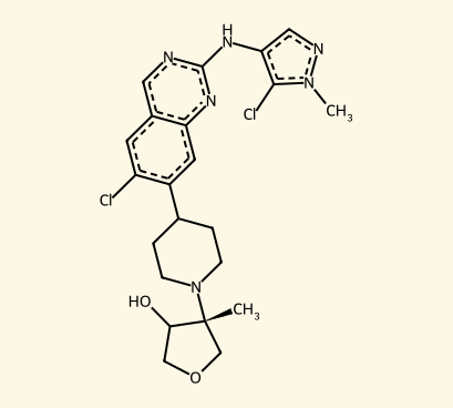 Cn1ncc(Nc2ncc3cc(Cl)c(C4CCN([C@]5(C)COCC5O)CC4)cc3n2)c1Cl